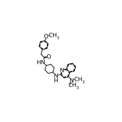 COc1ccc(CC(=O)NC2CCC(Nc3cc(N(C)C)c4ccccc4n3)CC2)cc1